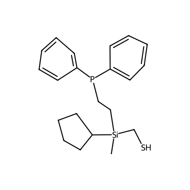 C[Si](CS)(CCP(c1ccccc1)c1ccccc1)C1CCCC1